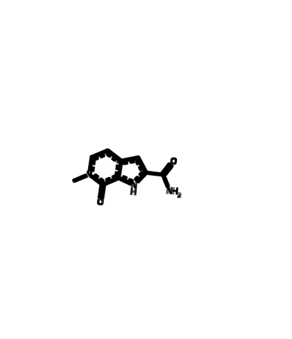 Cn1ccc2cc(C(N)=O)[nH]c2c1=O